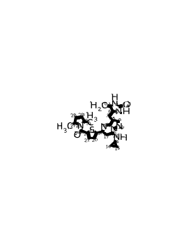 C=c1[nH]c(=O)[nH]/c1=C\c1cnn2c(NC3CC3)cc(-c3ccc(C(=O)N4C(C)C=CC4C)s3)nc12